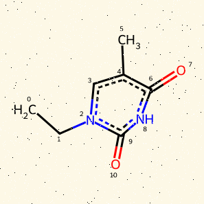 [CH2]Cn1cc(C)c(=O)[nH]c1=O